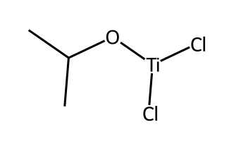 CC(C)[O][Ti]([Cl])[Cl]